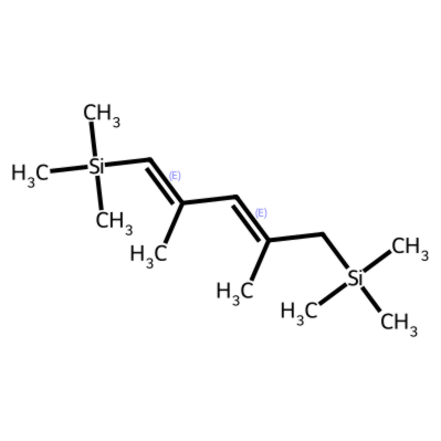 CC(=C\[Si](C)(C)C)/C=C(\C)C[Si](C)(C)C